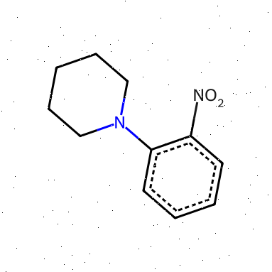 O=[N+]([O-])c1ccccc1N1CCCCC1